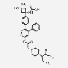 CCN(C(C)=O)[C@H]1CC[C@H](CC(=O)Nc2cc(-c3ccccc3)c(-c3ccc([C@]4(NC(=O)O)C[C@@](C)(O)C4)cc3)nn2)CC1